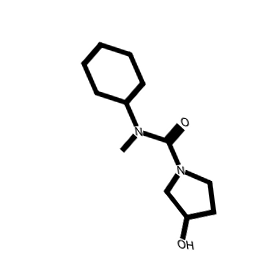 CN(C(=O)N1CCC(O)C1)C1CCCCC1